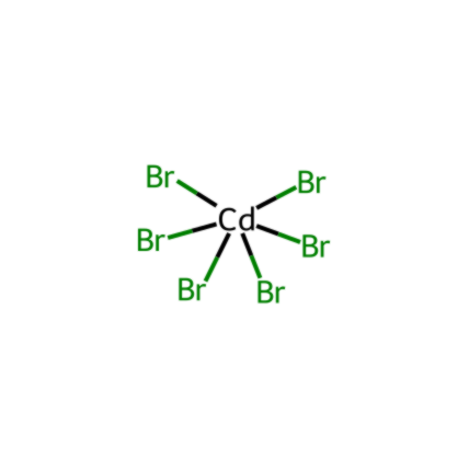 [Br][Cd]([Br])([Br])([Br])([Br])[Br]